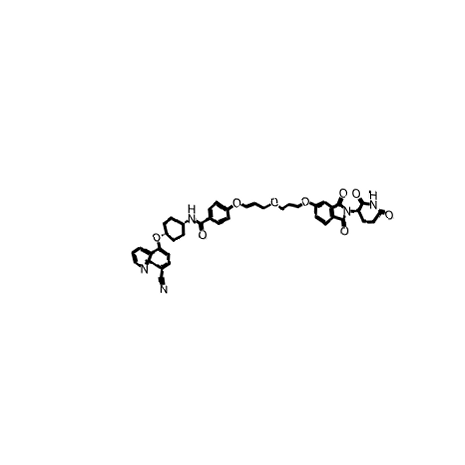 N#Cc1ccc(O[C@H]2CC[C@H](NC(=O)c3ccc(OCCCOCCCOc4ccc5c(c4)C(=O)N(C4CCC(=O)NC4=O)C5=O)cc3)CC2)c2cccnc12